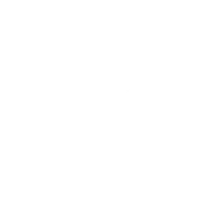 CCC[C](I)CC